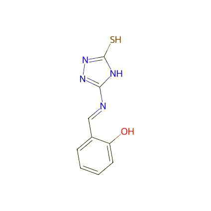 Oc1ccccc1C=Nc1nnc(S)[nH]1